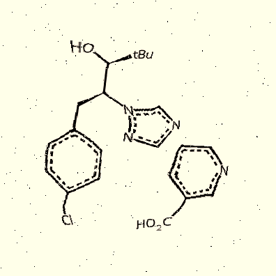 CC(C)(C)[C@H](O)[C@H](Cc1ccc(Cl)cc1)n1cncn1.O=C(O)c1cccnc1